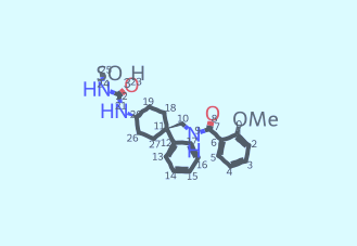 COc1ccccc1C(=O)NC[C@]1(c2ccccc2)CC[C@H](NC(=O)NS(=O)(=O)O)CC1